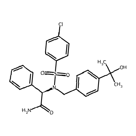 CC(C)(O)c1ccc(CN([C@@H](C(N)=O)c2ccccc2)S(=O)(=O)c2ccc(Cl)cc2)cc1